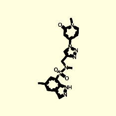 Cc1cc(S(=O)(=O)N(C)Cc2cn(-c3ccn(C)c(=O)c3)nn2)c2[nH]ncc2c1